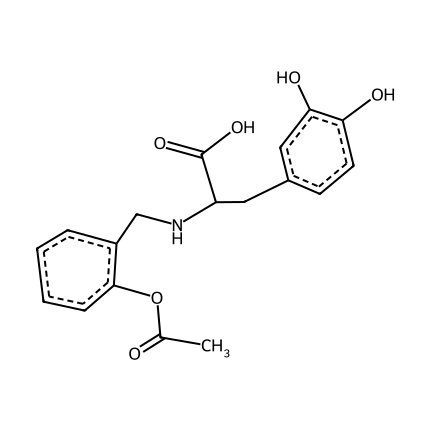 CC(=O)Oc1ccccc1CNC(Cc1ccc(O)c(O)c1)C(=O)O